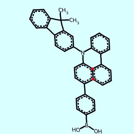 CC1(C)c2ccccc2-c2ccc(N(c3ccc(-c4ccc(B(O)O)cc4)cc3)c3ccccc3-c3ccccc3)cc21